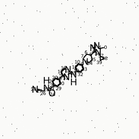 Cc1nnc(C2CCN(c3ccc(Nc4nccc(-c5ccc(C(=O)NCC#N)cc5)n4)cc3)CC2)n1C1CC1